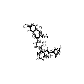 Cc1nn(C)cc1-c1cc2c(N3CCN(C(=O)N[C@@H](C)c4ccc(Cl)cc4)CC3)ncnc2[nH]1